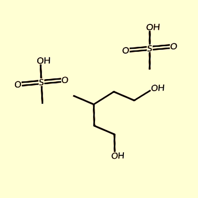 CC(CCO)CCO.CS(=O)(=O)O.CS(=O)(=O)O